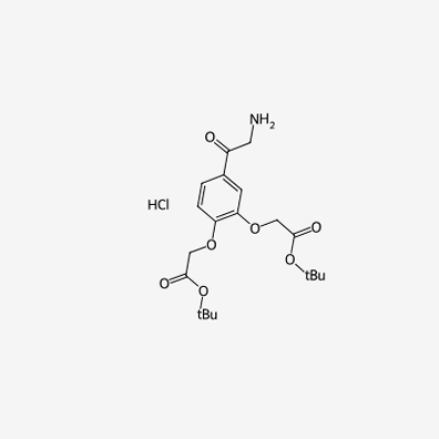 CC(C)(C)OC(=O)COc1ccc(C(=O)CN)cc1OCC(=O)OC(C)(C)C.Cl